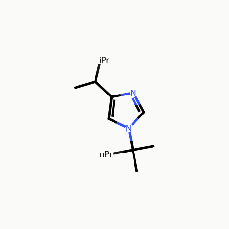 CCCC(C)(C)n1cnc(C(C)C(C)C)c1